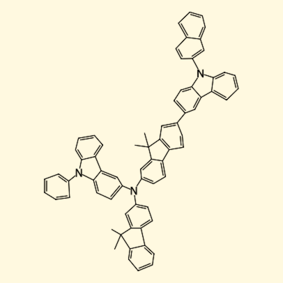 CC1(C)c2ccccc2-c2ccc(N(c3ccc4c(c3)C(C)(C)c3cc(-c5ccc6c(c5)c5ccccc5n6-c5ccc6ccccc6c5)ccc3-4)c3ccc4c(c3)c3ccccc3n4-c3ccccc3)cc21